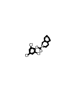 O=C(Oc1c(Cl)cc(Cl)cc1Cl)N1CCc2ccccc2C1